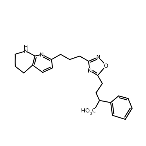 O=C(O)C(CCc1nc(CCCc2ccc3c(n2)NCCC3)no1)c1ccccc1